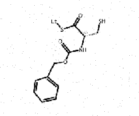 CCSC(=O)[C@H](CS)NC(=O)OCc1ccccc1